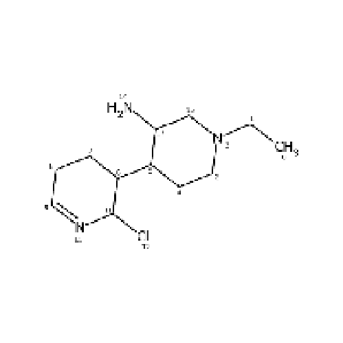 CCN1CCC(C2CCC=NC2Cl)C(N)C1